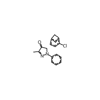 CC1=NN(c2ccccc2)CC1=O.Clc1ccc2cc1C2